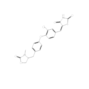 CN1C(=O)OCC1Cc1ccc(Oc2ccc(/C=C3/SC(=O)NC3=O)cc2Cl)cc1